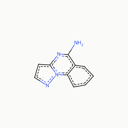 Nc1nc2ccnn2c2ccccc12